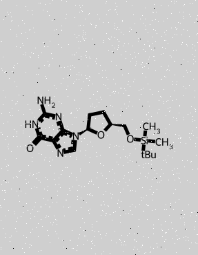 CC(C)(C)[Si](C)(C)OC[C@@H]1CC[C@H](n2cnc3c(=O)[nH]c(N)nc32)O1